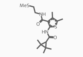 CSCCNC(=O)c1c(NC(=O)C2C(C)(C)C2(C)C)sc(C)c1C